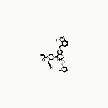 C=CC(=O)N1CCN(c2nc(OC[C@@H]3CCCN3C)nc3c2CN(Cc2cccc4nc[nH]c24)C3)C[C@@H]1CC#N